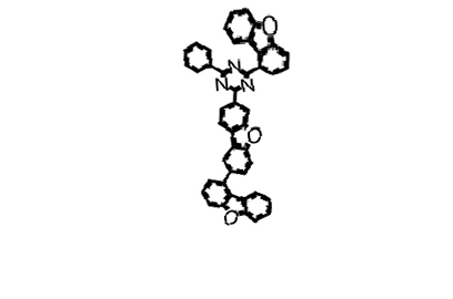 c1ccc(-c2nc(-c3ccc4c(c3)oc3ccc(-c5cccc6oc7ccccc7c56)cc34)nc(-c3cccc4oc5ccccc5c34)n2)cc1